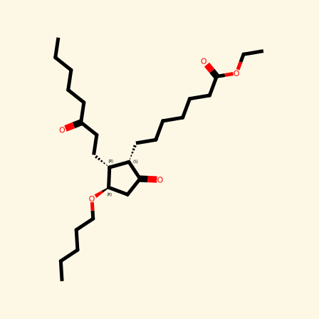 CCCCCO[C@@H]1CC(=O)[C@@H](CCCCCCC(=O)OCC)[C@H]1CCC(=O)CCCCC